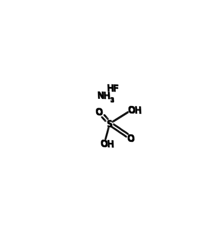 F.N.O=S(=O)(O)O